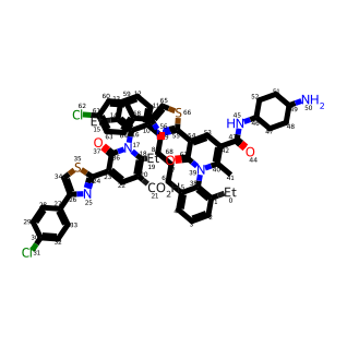 CCc1cccc(CCCCc2cccc(CC)c2-n2c(CC)c(C(=O)O)cc(-c3nc(-c4ccc(Cl)cc4)cs3)c2=O)c1-n1c(C)c(C(=O)NC2CCC(N)CC2)cc(-c2nc(-c3ccc(Cl)cc3)cs2)c1=O